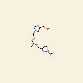 COCC1CCN(C(C)CCC(C)OCC2CCN(C(C)C)C2)C1